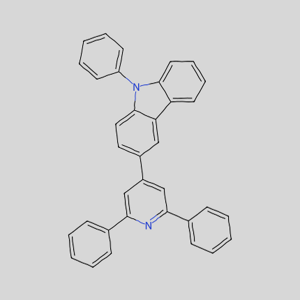 c1ccc(-c2cc(-c3ccc4c(c3)c3ccccc3n4-c3ccccc3)cc(-c3ccccc3)n2)cc1